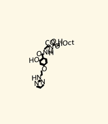 CCCCCCCCOC(=O)N[C@@H](CNC(=O)c1ccc(OCCNc2ncccn2)cc1O)C(=O)O